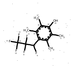 Cc1c(C)c(C(F)C(F)(F)C(F)(F)F)c(C)c(C)c1O